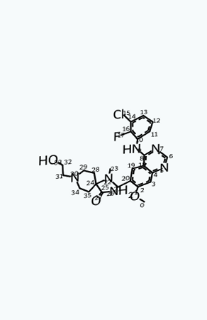 COc1cc2ncnc(Nc3cccc(Cl)c3F)c2cc1CN(C)C1(C(N)=O)CCN(CCO)CC1